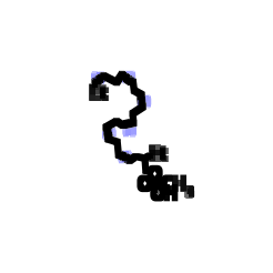 CC/C=C\C/C=C\C/C=C\C/C=C\C/C=C\C/C=C\CC(CC)COP(C)(=O)O